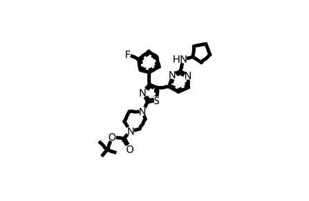 CC(C)(C)OC(=O)N1CCN(c2nc(-c3cccc(F)c3)c(-c3ccnc(NC4CCCC4)n3)s2)CC1